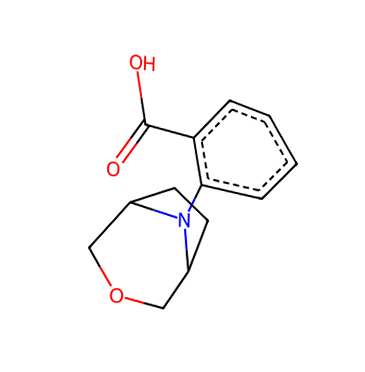 O=C(O)c1ccccc1N1C2CCC1COC2